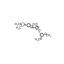 COc1cc(COc2cc(NC(=O)c3ccc(N4CCN(C)C(C)C4)cc3)[nH]n2)cc(OC)c1